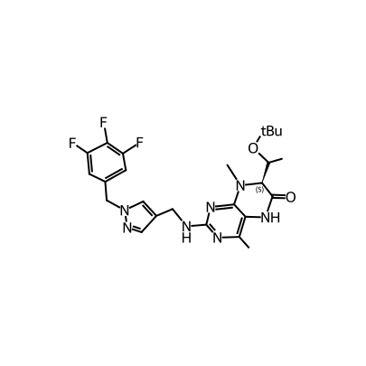 Cc1nc(NCc2cnn(Cc3cc(F)c(F)c(F)c3)c2)nc2c1NC(=O)[C@H](C(C)OC(C)(C)C)N2C